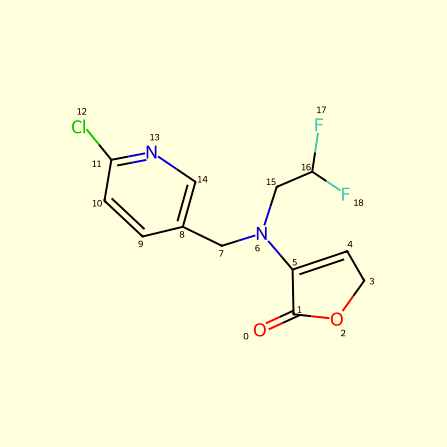 O=C1OCC=C1N(Cc1ccc(Cl)nc1)CC(F)F